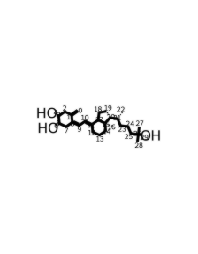 C=C1CC(O)[C@H](O)C/C1=C/C=C1CCC[C@@]2(C)C1CC[C@@H]2[C@H](C)CCCC(C)(C)O